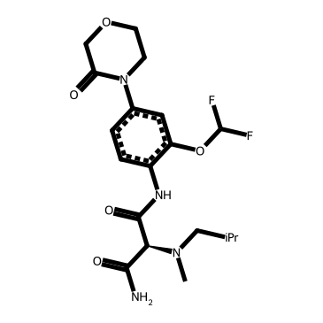 CC(C)CN(C)[C@@H](C(N)=O)C(=O)Nc1ccc(N2CCOCC2=O)cc1OC(F)F